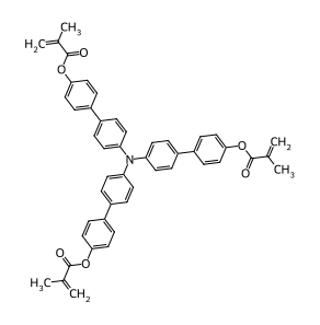 C=C(C)C(=O)Oc1ccc(-c2ccc(N(c3ccc(-c4ccc(OC(=O)C(=C)C)cc4)cc3)c3ccc(-c4ccc(OC(=O)C(=C)C)cc4)cc3)cc2)cc1